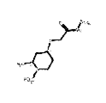 CC(=O)NNC(=O)CO[C@H]1CCN(C(=O)O)[C@@H](C)C1